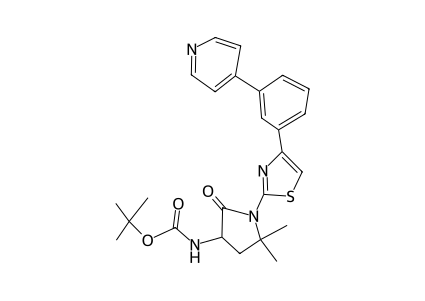 CC(C)(C)OC(=O)NC1CC(C)(C)N(c2nc(-c3cccc(-c4ccncc4)c3)cs2)C1=O